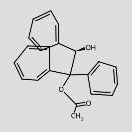 CC(=O)OC(c1ccccc1)(c1ccccc1)[C@H](O)c1ccccc1